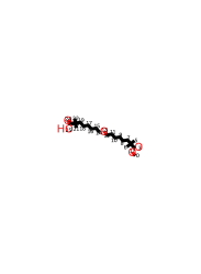 COC(=O)C(C)(C)CCCCCCOCCCCCCC(C)(C)C(=O)O